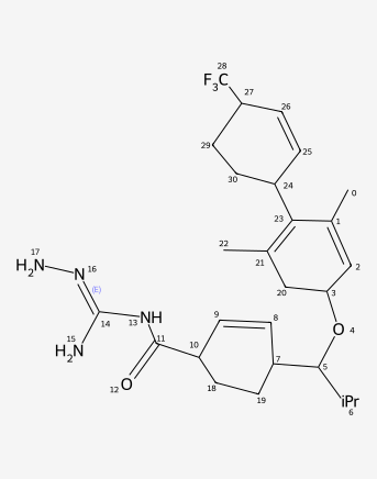 CC1=CC(OC(C(C)C)C2C=CC(C(=O)N/C(N)=N/N)CC2)CC(C)=C1C1C=CC(C(F)(F)F)CC1